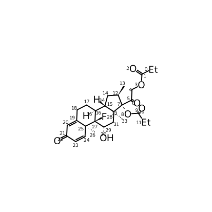 CCC(=O)OCC(=O)[C@]1(OC(=O)CC)[C@H](C)C[C@H]2[C@@H]3CCC4=CC(=O)C=C[C@]4(C)[C@@]3(F)[C@@H](O)C[C@@]21C